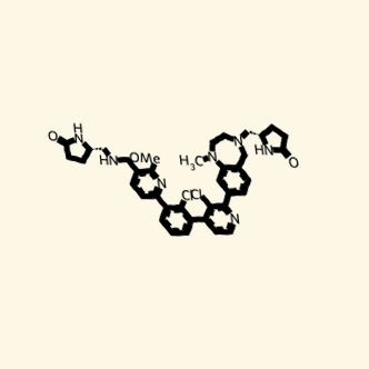 COc1nc(-c2cccc(-c3ccnc(-c4ccc5c(c4)N(C)CCN(C[C@@H]4CCC(=O)N4)C5)c3Cl)c2Cl)ccc1CNC[C@@H]1CCC(=O)N1